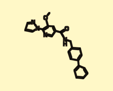 COc1cc(C(=O)NCc2ccc(-c3ccccc3)cc2)cnc1-n1cccn1